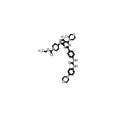 CCOC(=O)N1CCC(n2ncc3c(N4CCOC[C@@H]4C)nc(-c4ccc(NC(=O)Nc5ccc(N6CCOCC6)cc5)cc4)nc32)CC1